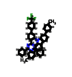 Cc1ccc(-c2ccc3c4ccc(-c5ccc(C)cc5)cc4n(-c4cc(-c5ccc(C(F)(F)F)cc5)ccc4-c4nc(-c5ccccc5)nc(-c5ccccc5)n4)c3c2)cc1